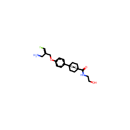 NC/C(=C\F)COc1ccc(C23CCC(C(=O)NCCO)(CC2)CC3)cc1